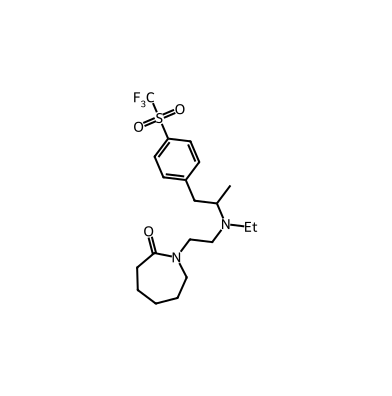 CCN(CCN1CCCCCC1=O)C(C)Cc1ccc(S(=O)(=O)C(F)(F)F)cc1